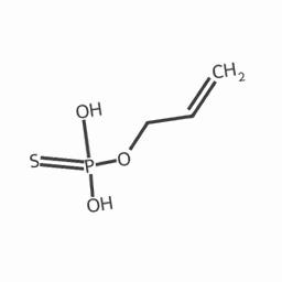 C=CCOP(O)(O)=S